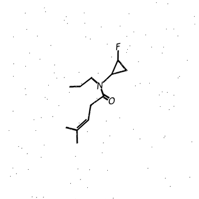 CCCN(C(=O)CC=C(C)C)C1CC1F